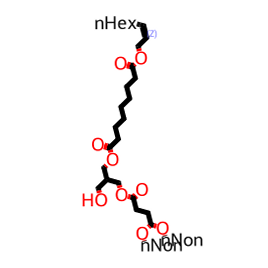 CCCCCC/C=C\COC(=O)CCCCCCCC(=O)OCC(CO)COC(=O)CCC(OCCCCCCCCC)OCCCCCCCCC